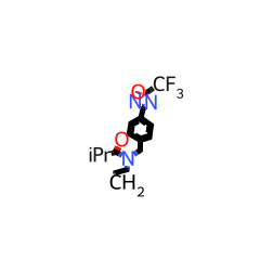 C=CCN(Cc1ccc(-c2noc(C(F)(F)F)n2)cc1)C(=O)C(C)C